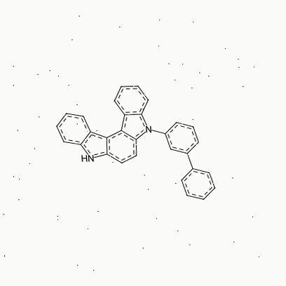 c1ccc(-c2cccc(-n3c4ccccc4c4c5c(ccc43)[nH]c3ccccc35)c2)cc1